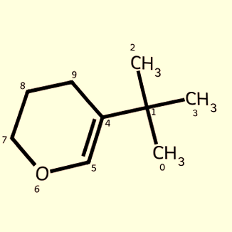 CC(C)(C)C1=COCCC1